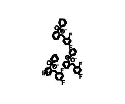 O=P([O-])(c1ccccc1)c1ccccc1Cc1ccc(F)cc1F.O=P([O-])(c1ccccc1)c1ccccc1Cc1ccc(F)cc1F.O=P([O-])(c1ccccc1)c1ccccc1Cc1ccc(F)cc1F.[Ir+3]